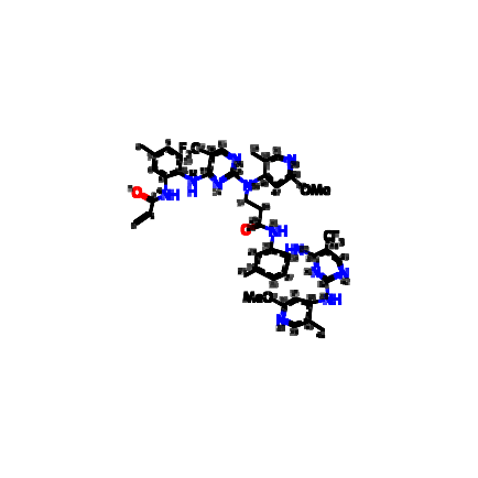 C=CC(=O)Nc1cc(C)ccc1Nc1nc(N(CCC(=O)Nc2cc(C)ccc2Nc2nc(Nc3cc(OC)ncc3C)ncc2C(F)(F)F)c2cc(OC)ncc2C)ncc1C(F)(F)F